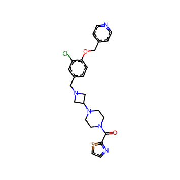 O=C(c1nccs1)N1CCN(C2CN(Cc3ccc(OCc4ccncc4)c(Cl)c3)C2)CC1